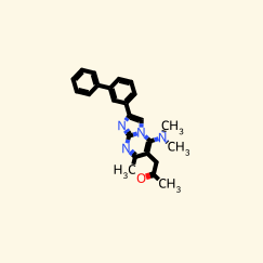 CC(=O)Cc1c(C)nc2nc(-c3cccc(-c4ccccc4)c3)cn2c1N(C)C